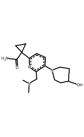 CN(C)Cc1nc(C2(C(N)=O)CC2)ccc1N1CCC(O)CC1